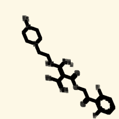 CCC(=N)/C(C(=O)OCC(=O)c1c(F)cccc1F)=C(/N)NCCN1CCN(CC)CC1